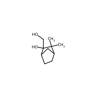 CC1(C)C2CCC(C2)C1(O)CO